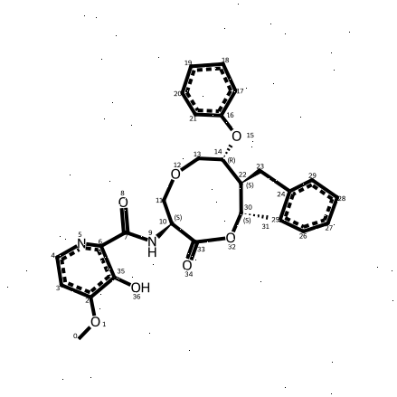 COc1ccnc(C(=O)N[C@H]2COC[C@H](Oc3ccccc3)[C@@H](Cc3ccccc3)[C@H](C)OC2=O)c1O